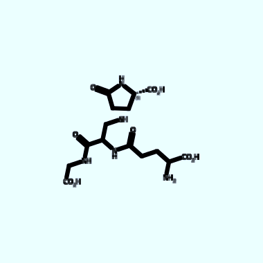 NC(CCC(=O)NC(CS)C(=O)NCC(=O)O)C(=O)O.O=C1CC[C@@H](C(=O)O)N1